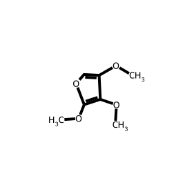 COc1coc(OC)c1OC